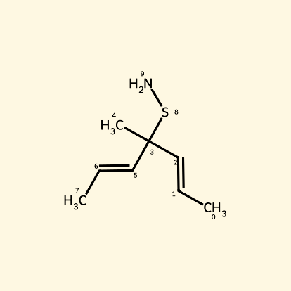 CC=CC(C)(C=CC)SN